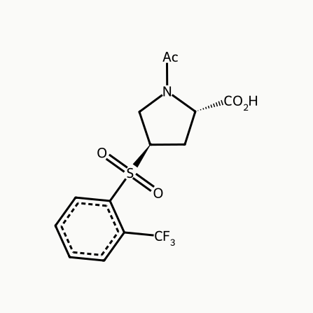 CC(=O)N1C[C@H](S(=O)(=O)c2ccccc2C(F)(F)F)C[C@H]1C(=O)O